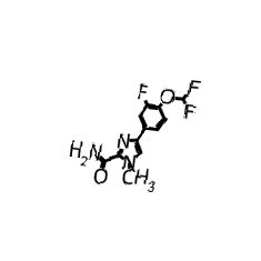 Cn1cc(-c2ccc(OC(F)F)c(F)c2)nc1C(N)=O